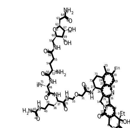 CC[C@@]1(O)C(=O)OCc2c1cc1n(c2=O)Cc2c-1nc1cc(F)c(C)c3c1c2[C@@H](NC(=O)COCNC(=O)[C@H](CCCNC(N)=O)NC(=O)[C@@H](NC(=O)[C@@H](N)CCC(=O)NC[C@H]1O[C@@H](CC(N)=O)[C@H](O)[C@@H]1O)C(C)C)CC3